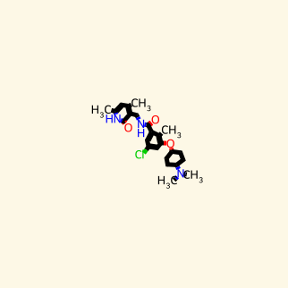 Cc1cc(C)c(CNC(=O)c2cc(Cl)cc(OC3CCC(N(C)C)CC3)c2C)c(=O)[nH]1